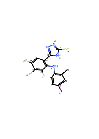 Cc1cc(I)ccc1Nc1c(-c2nnc(S)[nH]2)cc(F)c(F)c1F